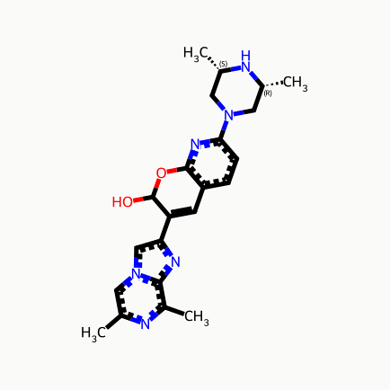 Cc1cn2cc(C3=Cc4ccc(N5C[C@@H](C)N[C@@H](C)C5)nc4OC3O)nc2c(C)n1